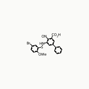 COc1ccc(Br)cc1SNc1cc(-c2ccccc2)cc(C(=O)O)c1N=O